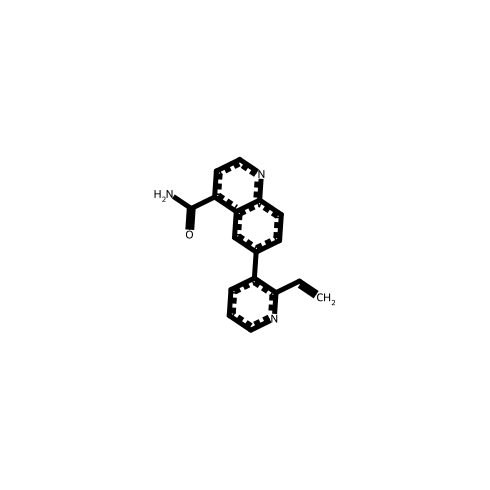 C=Cc1ncccc1-c1ccc2nccc(C(N)=O)c2c1